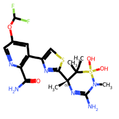 CN1C(N)=N[C@](C)(c2nc(-c3cc(OC(F)F)cnc3C(N)=O)cs2)C(C)(C)S1(O)O